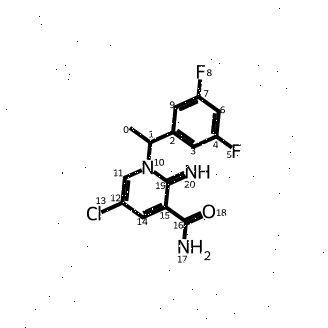 CC(c1cc(F)cc(F)c1)n1cc(Cl)cc(C(N)=O)c1=N